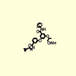 COCC(C)Oc1cc(Oc2cccc(-c3nnc(C4CC4)o3)c2)cc(C(=O)Nc2nccs2)c1